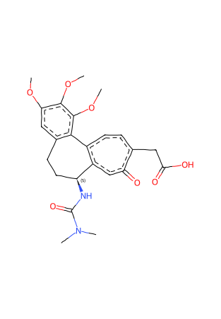 COc1cc2c(c(OC)c1OC)-c1ccc(CC(=O)O)c(=O)cc1[C@@H](NC(=O)N(C)C)CC2